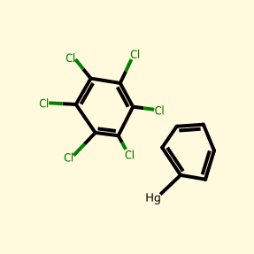 Clc1c(Cl)c(Cl)c(Cl)c(Cl)c1Cl.[Hg][c]1ccccc1